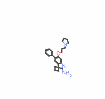 NC1=Nc2cc(OCCCN3CCCC3)c(-c3ccccc3)cc2C12CCC2